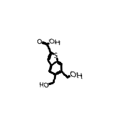 O=C(O)c1cc2cc(CO)c(CO)cc2s1